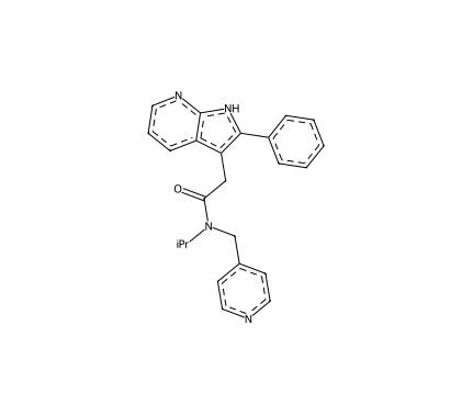 CC(C)N(Cc1ccncc1)C(=O)Cc1c(-c2ccccc2)[nH]c2ncccc12